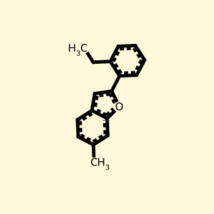 CCc1ccccc1-c1cc2ccc(C)cc2o1